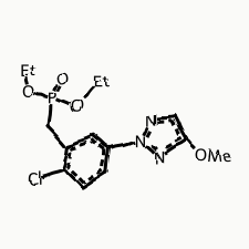 CCOP(=O)(Cc1cc(-n2ncc(OC)n2)ccc1Cl)OCC